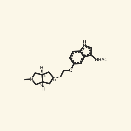 CC(=O)Nc1c[nH]c2ccc(OCC[C@@H]3C[C@@H]4CN(C)C[C@@H]4C3)cc12